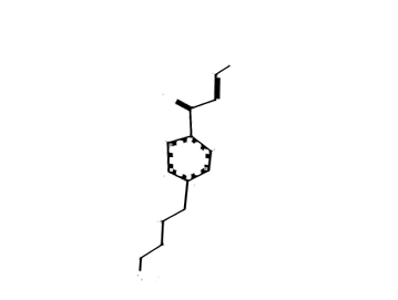 CC=CC(=O)c1ccc(CCCCNC(C)=O)cc1